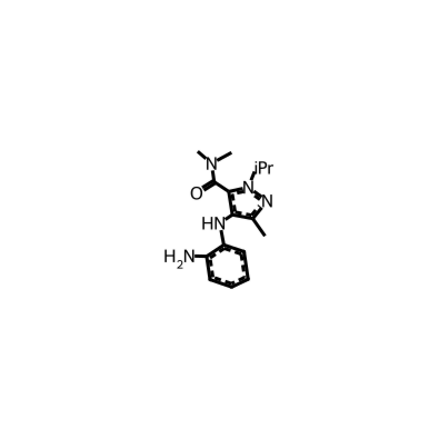 Cc1nn(C(C)C)c(C(=O)N(C)C)c1Nc1ccccc1N